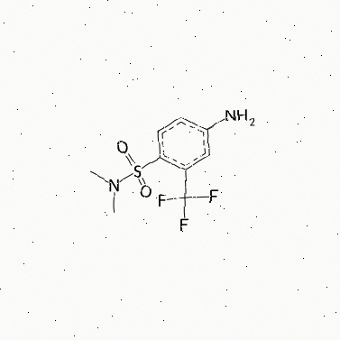 CN(C)S(=O)(=O)c1ccc(N)cc1C(F)(F)F